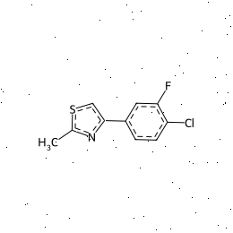 Cc1nc(-c2ccc(Cl)c(F)c2)cs1